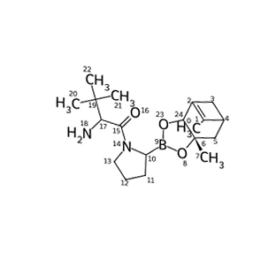 CC1=C2CC1C[C@]1(C)OB(C3CCCN3C(=O)C(N)C(C)(C)C)OC21